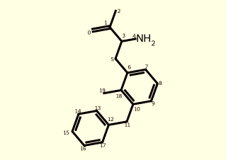 C=C(C)C(N)Cc1cccc(Cc2ccccc2)c1C